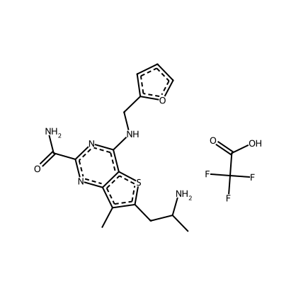 Cc1c(CC(C)N)sc2c(NCc3ccco3)nc(C(N)=O)nc12.O=C(O)C(F)(F)F